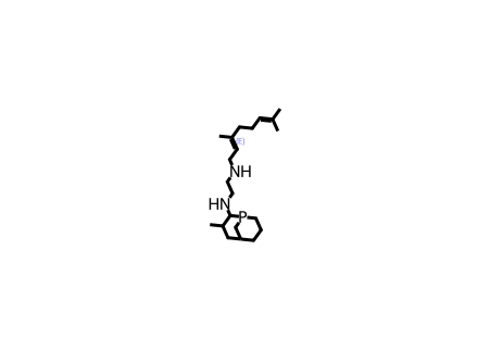 CC(C)=CCC/C(C)=C/CNCCNC1C(C)CC2CCCP1C2